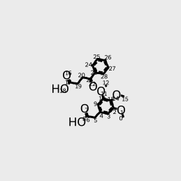 COc1cc(CC(=O)O)cc(OC)c1OC.O=C(O)CCC(=O)c1ccccc1